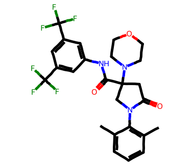 Cc1cccc(C)c1N1CC(C(=O)Nc2cc(C(F)(F)F)cc(C(F)(F)F)c2)(N2CCOCC2)CC1=O